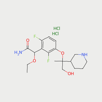 CCOC(C(N)=O)c1c(F)ccc(OC(C)(CO)C2CCCNC2)c1F.Cl.Cl